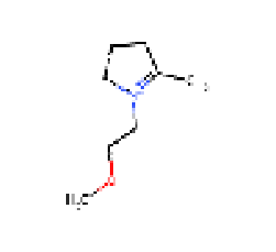 COCC[N+]1=C(C)CCC1